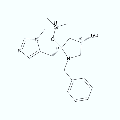 Cn1cncc1C[C@]1(O[SiH](C)C)C[C@H](C(C)(C)C)CN1Cc1ccccc1